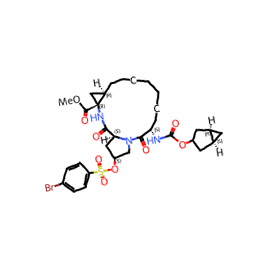 COC(=O)[C@@]12C[C@H]1CCCCCCC[C@H](NC(=O)OC1C[C@@H]3C[C@@H]3C1)C(=O)N1C[C@@H](OS(=O)(=O)c3ccc(Br)cc3)C[C@H]1C(=O)N2